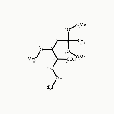 COOC(CC(C)(OOC)OOC)C(OOC(C)(C)C)C(=O)O